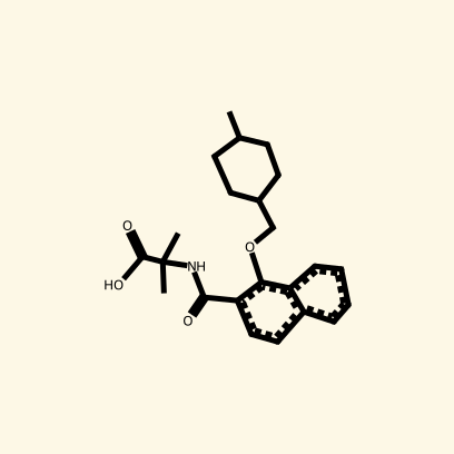 CC1CCC(COc2c(C(=O)NC(C)(C)C(=O)O)ccc3ccccc23)CC1